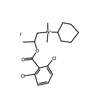 CC(C[N+](C)(C)C1CCCCC1)OC(=O)c1c(Cl)cccc1Cl.[I-]